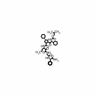 CCCC(NC(=O)C1C[C@@H](C2CCCCC2)CC1C(=O)[C@@H](NC(=O)OCC(C)C)C1CCCCC1)C(=O)C(=O)NCC(=O)N[C@H](C(N)=O)c1ccccc1